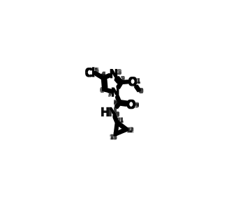 COc1nc(Cl)cn1C(=O)NC1CC1